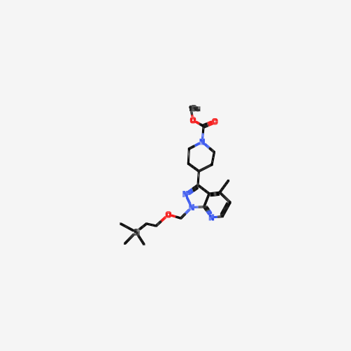 Cc1ccnc2c1c(C1CCN(C(=O)OC(C)(C)C)CC1)nn2COCC[Si](C)(C)C